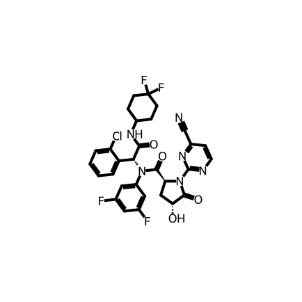 N#Cc1ccnc(N2C(=O)[C@H](O)C[C@H]2C(=O)N(c2cc(F)cc(F)c2)[C@@H](C(=O)NC2CCC(F)(F)CC2)c2ccccc2Cl)n1